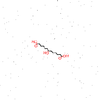 O=C(O)CCCCCC(O)CCCCCC(=O)O